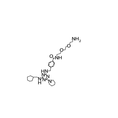 NCCOCCOCCNC(=O)c1ccc(CNc2nc(NCC3CCCCC3)nc(N3CCCCC3)n2)cc1